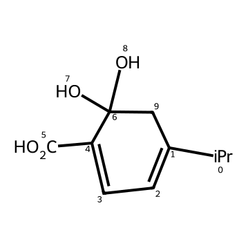 CC(C)C1=CC=C(C(=O)O)C(O)(O)C1